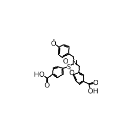 COc1ccc(CN(Cc2cccc(C(=O)O)c2)S(=O)(=O)c2ccc(C(=O)O)cc2)cc1